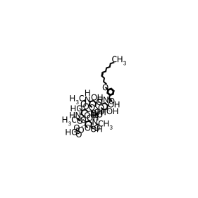 CCCCCC/C=C\CCCOc1cccc(C(=O)N[C@H]2[C@H](O[C@H]3[C@H](O)[C@@H](NC(C)=O)[C@H](O[C@H]4[C@H](O)[C@@H](NC(C)=O)[C@H](O[C@H]5[C@H](O)[C@@H](NC(C)=O)C(O)O[C@@H]5COS(=O)(=O)O)O[C@@H]4CO)O[C@@H]3CO)O[C@H](CO)[C@@H](O)[C@@H]2O)c1